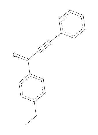 CCc1ccc(C(=O)C#Cc2ccccc2)cc1